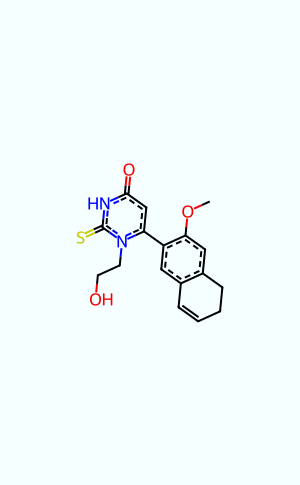 COc1cc2c(cc1-c1cc(=O)[nH]c(=S)n1CCO)C=CCC2